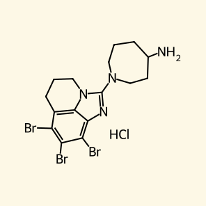 Cl.NC1CCCN(c2nc3c(Br)c(Br)c(Br)c4c3n2CCC4)CC1